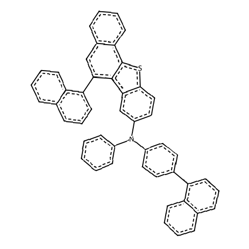 c1ccc(N(c2ccc(-c3cccc4ccccc34)cc2)c2ccc3sc4c5ccccc5cc(-c5cccc6ccccc56)c4c3c2)cc1